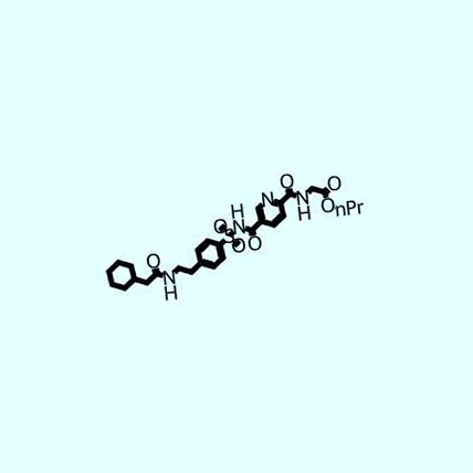 CCCOC(=O)CNC(=O)c1ccc(C(=O)NS(=O)(=O)c2ccc(CCNC(=O)CC3CCCCC3)cc2)cn1